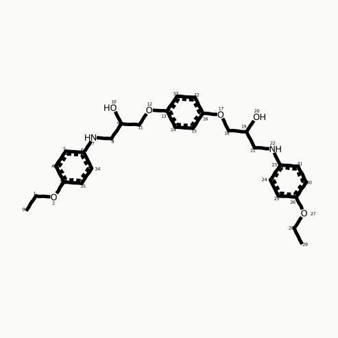 CCOc1ccc(NCC(O)COc2ccc(OCC(O)CNc3ccc(OCC)cc3)cc2)cc1